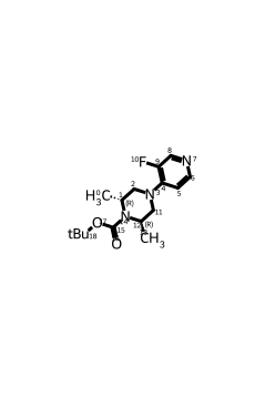 C[C@@H]1CN(c2ccncc2F)C[C@@H](C)N1C(=O)OC(C)(C)C